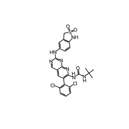 CC(C)(C)NC(=O)Nc1nc2nc(Nc3ccc4c(c3)CS(=O)(=O)N4)ncc2cc1-c1c(Cl)cccc1Cl